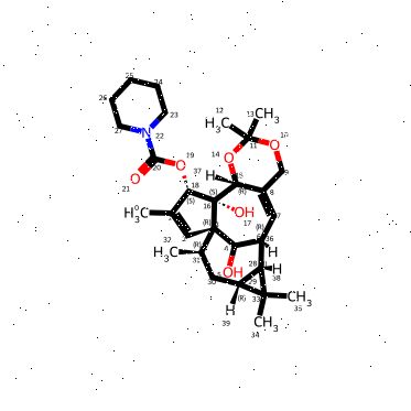 CC1=C[C@]23C(O)[C@@H](C=C4COC(C)(C)O[C@H]4[C@]2(O)[C@H]1OC(=O)N1CCCCC1)[C@H]1[C@@H](C[C@H]3C)C1(C)C